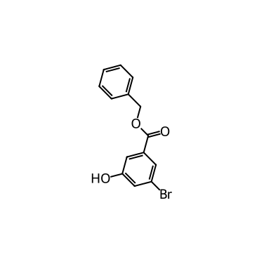 O=C(OCc1ccccc1)c1cc(O)cc(Br)c1